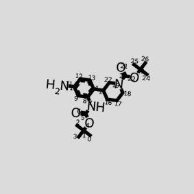 CC(C)(C)OC(=O)Nc1cc(N)ccc1C1CCCN(C(=O)OC(C)(C)C)C1